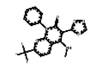 CNc1c(-c2nnco2)c(=O)n(-c2ccccc2)c2nc(C(F)(F)F)ccc12